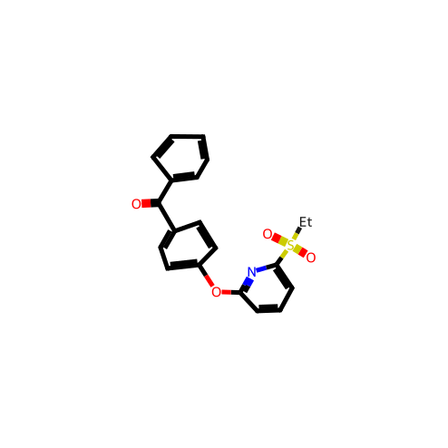 CCS(=O)(=O)c1cccc(Oc2ccc(C(=O)c3ccccc3)cc2)n1